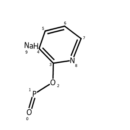 O=POc1ccccn1.[NaH]